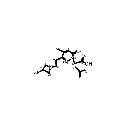 Cc1cc(=O)n([C@@H](CC(C)C)C(=O)O)nc1CCN1CC(F)C1